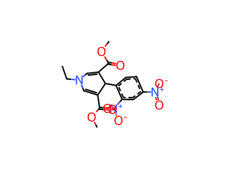 CCN1C=C(C(=O)OC)C(c2ccc([N+](=O)[O-])cc2[N+](=O)[O-])C(C(=O)OC)=C1